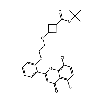 CC(C)(C)OC(=O)C1CC(OCCOc2ccccc2-c2cc(=O)c3c(Br)ccc(Cl)c3o2)C1